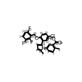 Cc1ccc(-n2c(C)ccc2-c2cc(Cl)ccc2OCc2c(F)ccc(F)c2F)cc1C(=O)O